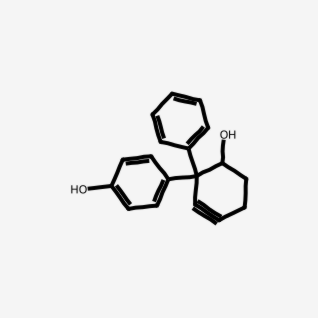 Oc1ccc(C2(c3ccccc3)C#CCCC2O)cc1